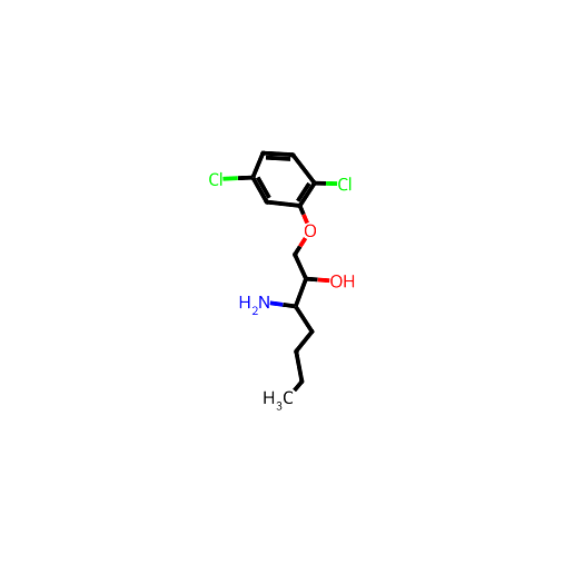 CCCCC(N)C(O)COc1cc(Cl)ccc1Cl